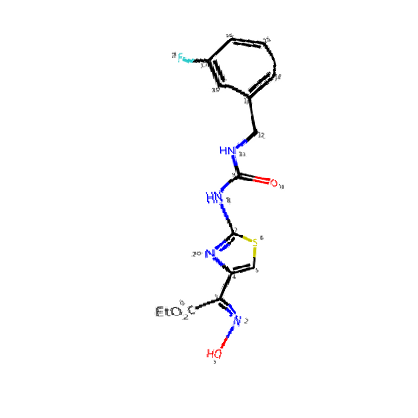 CCOC(=O)/C(=N\O)c1csc(NC(=O)NCc2cccc(F)c2)n1